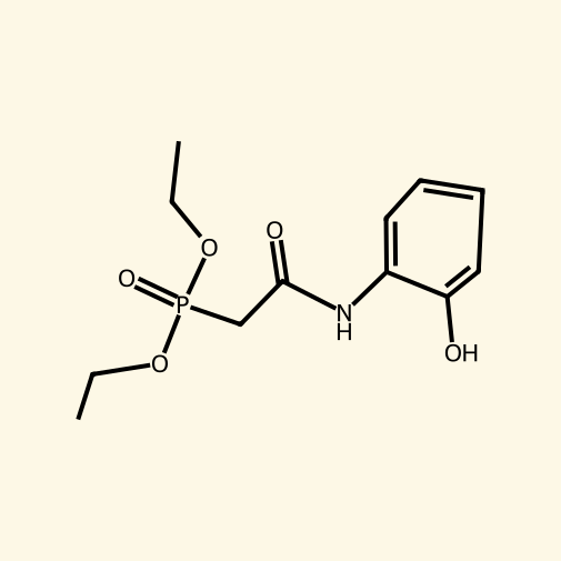 CCOP(=O)(CC(=O)Nc1ccccc1O)OCC